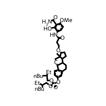 CCCCC(CC)COP(=O)(OCC(CC)CCCC)Oc1ccc2c(c1)CCC1C2CCC2(C)C(OCCC(=O)Nc3ccc(OC)c(C(N)=O)c3O)CCC12